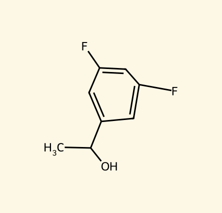 CC(O)c1cc(F)cc(F)c1